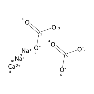 O=C([O-])[O-].O=C([O-])[O-].[Ca+2].[Na+].[Na+]